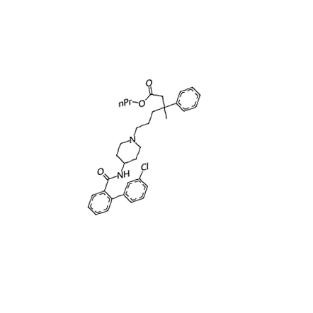 CCCOC(=O)CC(C)(CCCN1CCC(NC(=O)c2ccccc2-c2cccc(Cl)c2)CC1)c1ccccc1